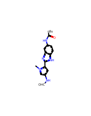 CCCCC(=O)Nc1ccc2[nH]c(-c3cc(NC=O)cn3C)nc2c1